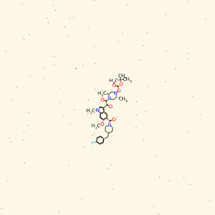 COc1cc2c(cc1C(=O)N1CCC(Cc3ccc(F)cc3)CC1)c(C(=O)C(=O)N1C[C@@H](C)N(OC(=O)OC(C)(C)C)C[C@@H]1C)cn2C